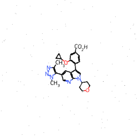 Cc1nnn(C)c1-c1cnc2c(c1)c(-c1ccc(C(=O)O)cc1OC1CC1)cn2C1CCOCC1